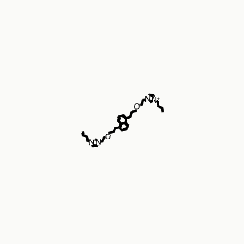 CCCC[n+]1ccn(CCOCCCc2cccc3c(CCCOCCn4cc[n+](CCCC)c4)cccc23)c1